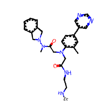 CCNCCNC(=O)CN(CC(=O)N(C)N1Cc2ccccc2C1)c1ccc(-c2cncnc2)cc1C